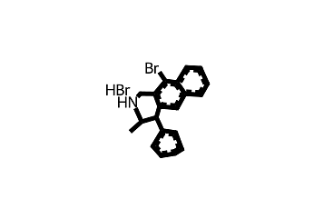 Br.CC1NCc2c(cc3ccccc3c2Br)C1c1ccccc1